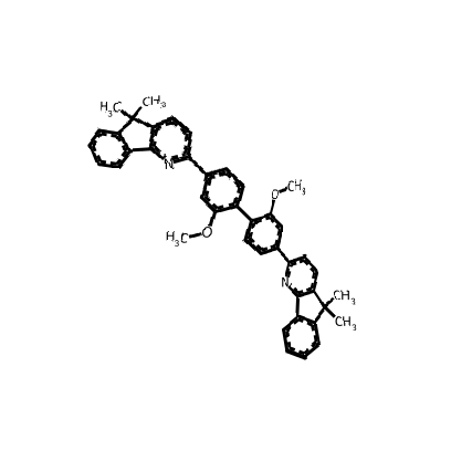 COc1cc(-c2ccc3c(n2)-c2ccccc2C3(C)C)ccc1-c1ccc(-c2ccc3c(n2)-c2ccccc2C3(C)C)cc1OC